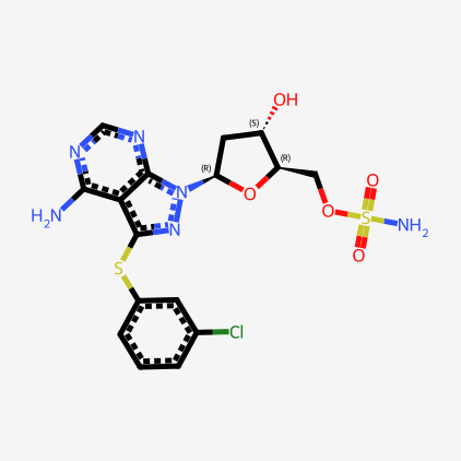 Nc1ncnc2c1c(Sc1cccc(Cl)c1)nn2[C@H]1C[C@H](O)[C@@H](COS(N)(=O)=O)O1